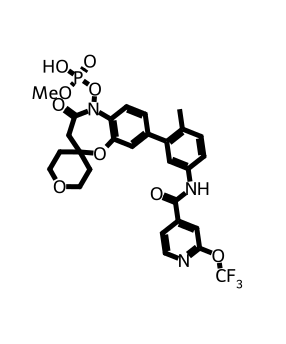 COP(=O)(O)ON1C(=O)CC2(CCOCC2)Oc2cc(-c3cc(NC(=O)c4ccnc(OC(F)(F)F)c4)ccc3C)ccc21